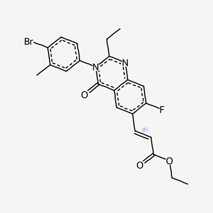 CCOC(=O)/C=C/c1cc2c(=O)n(-c3ccc(Br)c(C)c3)c(CC)nc2cc1F